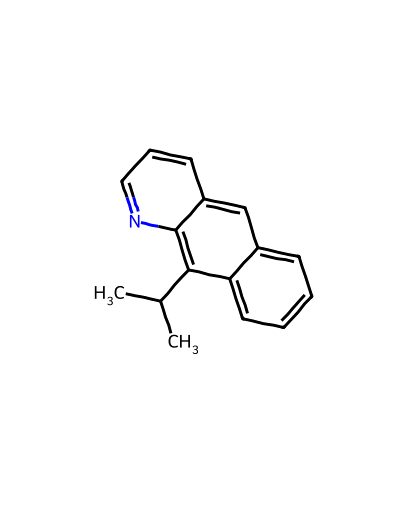 CC(C)c1c2ccccc2cc2cccnc12